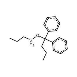 CCC[SiH2]OC(CCC)(c1ccccc1)c1ccccc1